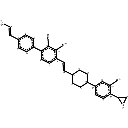 C/C=C/c1ccc(-c2ccc(/C=C/C3CCC(c4ccc(C5CO5)c(F)c4)CC3)c(F)c2F)cc1